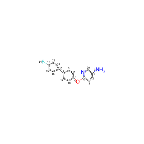 Nc1ccc(Oc2ccc(-c3ccc(F)cc3)cc2)nc1